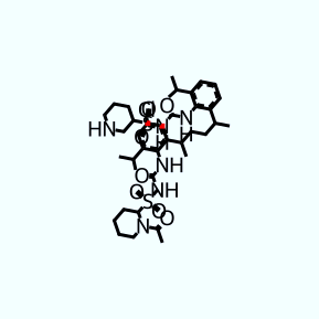 CC(=O)N1CCCCC1S(=O)(=O)NC(=O)Nc1c(C(C)C)cc(Cl)cc1C(C)CCC(C)c1cccc(C(C)C)c1NC(=O)NS(=O)(=O)C1CCCNC1